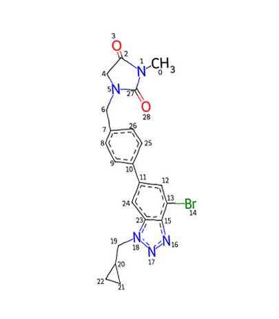 CN1C(=O)CN(Cc2ccc(-c3cc(Br)c4nnn(CC5CC5)c4c3)cc2)C1=O